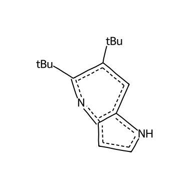 CC(C)(C)c1cc2[nH]ccc2nc1C(C)(C)C